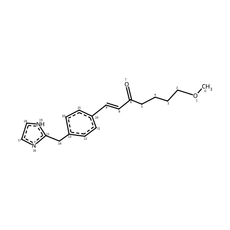 COCCCCC(=O)C=Cc1ccc(Cc2ncc[nH]2)cc1